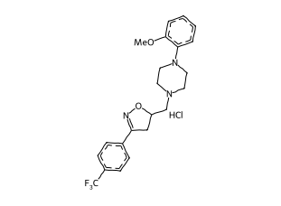 COc1ccccc1N1CCN(CC2CC(c3ccc(C(F)(F)F)cc3)=NO2)CC1.Cl